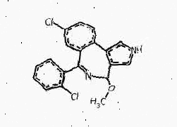 COC1N=C(c2ccccc2Cl)c2cc(Cl)ccc2-c2c[nH]cc21